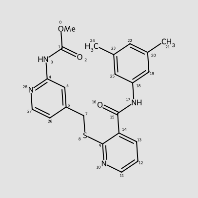 COC(=O)Nc1cc(CSc2ncccc2C(=O)Nc2cc(C)cc(C)c2)ccn1